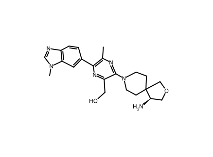 Cc1nc(N2CCC3(CC2)COC[C@H]3N)c(CO)nc1-c1ccc2ncn(C)c2c1